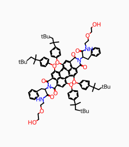 CC(C)(C)CC(C)(C)c1ccc(Oc2cc3c4c(cc(Oc5ccc(C(C)(C)CC(C)(C)C)cc5)c5c6c(Oc7ccc(C(C)(C)CC(C)(C)C)cc7)cc7c8c(cc(Oc9ccc(C(C)(C)CC(C)(C)C)cc9)c(c2c45)c86)C(=O)N(C(Cc2ccccc2)C(=O)NCCOCCO)C7=O)C(=O)N(C(Cc2ccccc2)C(=O)NCCOCCO)C3=O)cc1